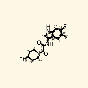 CCC1CCN(C(=O)C(=O)Nc2c[nH]c3cc(F)c(F)cc23)CC1